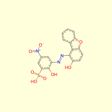 O=[N+]([O-])c1cc(N=Nc2c(O)ccc3oc4ccccc4c23)c(O)c(S(=O)(=O)O)c1